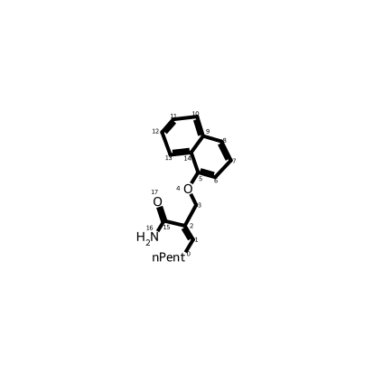 CCCCCC=C(COc1cccc2ccccc12)C(N)=O